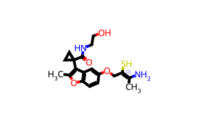 C/C(N)=C(/S)COc1ccc2oc(C)c(C3(C(=O)NCCO)CC3)c2c1